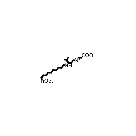 CCCCCCCC/C=C\CCCCCCCCNC(CC=[N+]CCC(=O)[O-])=C(C)C